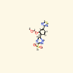 COCOc1cc(-c2ncsn2)ccc1-c1cnc(S(C)(=O)=O)nn1